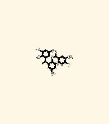 CC(c1cc(C(C)(C)C)cc(C(C)(C)C)c1O)c1cc(C(C)(C)C)cc(C(C)(C)C)c1OC(=O)c1ccc(Cl)c([N+](=O)[O-])c1